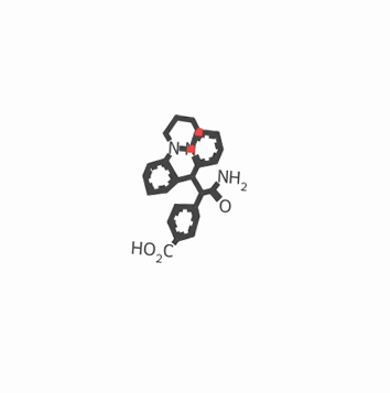 NC(=O)C(c1ccc(C(=O)O)cc1)C(c1ccccn1)c1ccccc1N1CCCCC1